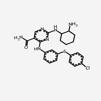 NC(=O)c1cnc(NC2CCCCC2N)nc1Nc1cccc(Sc2ccc(Cl)cc2)c1